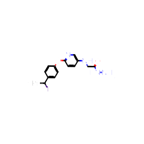 CCCC(I)c1ccc(Oc2ccc(NCC(=O)NN)cn2)cc1